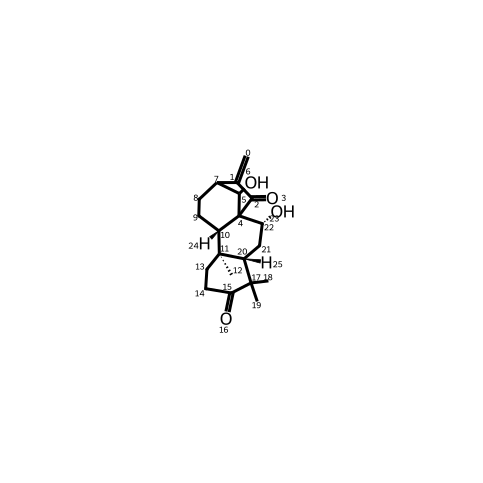 C=C1C(=O)C23C(O)C1CC[C@H]2[C@]1(C)CCC(=O)C(C)(C)[C@H]1C[C@H]3O